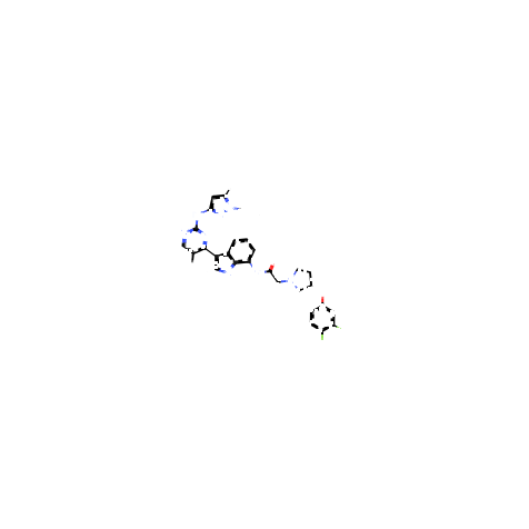 Cc1cnc(Nc2cc(C)n(C)n2)nc1-c1c[nH]c2c(NC(=O)CN3CC[C@H](Oc4ccc(F)c(F)c4)C3)cccc12